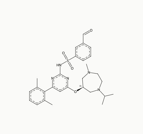 Cc1cccc(C)c1-c1cc(O[C@H]2CN(C)CCN(C(C)C)C2)nc(NS(=O)(=O)c2cccc(C=O)c2)n1